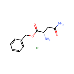 Cl.NC(=O)C[C@H](N)C(=O)OCc1ccccc1